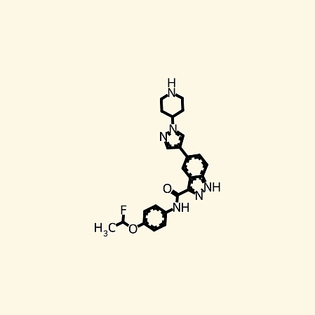 CC(F)Oc1ccc(NC(=O)c2n[nH]c3ccc(-c4cnn(C5CCNCC5)c4)cc23)cc1